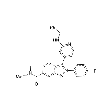 CON(C)C(=O)c1ccc2c(-c3ccnc(NCC(C)(C)C)n3)n(-c3ccc(F)cc3)nc2c1